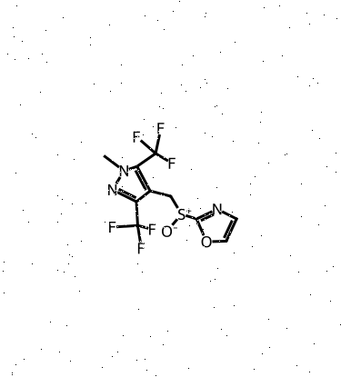 Cn1nc(C(F)(F)F)c(C[S+]([O-])c2ncco2)c1C(F)(F)F